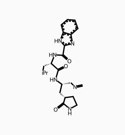 C=NC[C@H](C[C@@H]1CCNC1=O)NC(=O)[C@H](CC(C)C)NC(=O)c1nc2ccccc2[nH]1